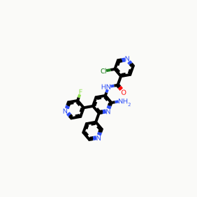 Nc1nc(-c2cccnc2)c(-c2ccncc2F)cc1NC(=O)c1ccncc1Cl